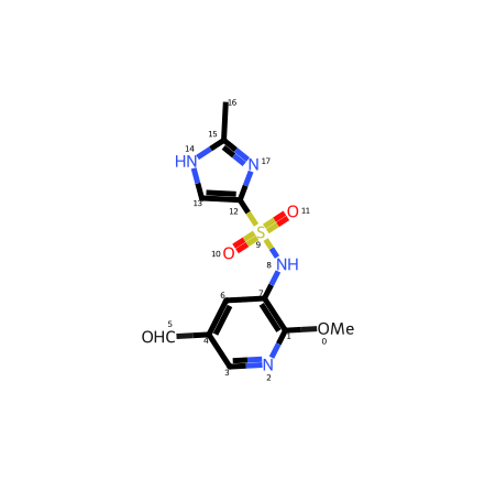 COc1ncc(C=O)cc1NS(=O)(=O)c1c[nH]c(C)n1